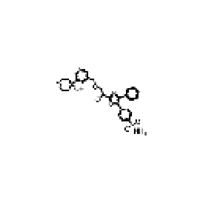 NS(=O)(=O)c1ccc(-c2oc(C(O)COCc3cncc(C4(O)CCOCC4)c3)nc2-c2ccccc2)cc1